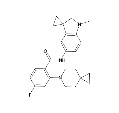 CN1CC2(CC2)c2cc(NC(=O)c3ccc(I)cc3N3CCC4(CC3)CC4)ccc21